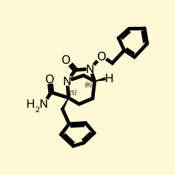 NC(=O)[C@@]1(Cc2ccccc2)CC[C@@H]2CN1C(=O)N2OCc1ccccc1